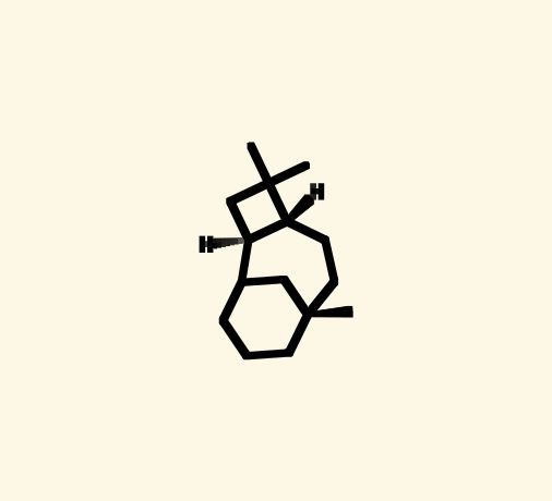 CC1(C)C[C@@H]2C3CCC[C@@](C)(CC[C@H]21)C3